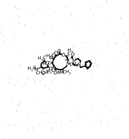 CO[C@]1(C)C[C@@H](C)CN(C)[C@@H](C(=O)N2CCN(Cc3ccccc3)CC2)[C@H](C)OC(=O)C(C)(C)C(=O)[C@H](C)[C@H]1O[C@@H]1O[C@H](C)C[C@H](N(C)C)[C@H]1O